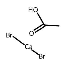 CC(=O)O.[Br][Ca][Br]